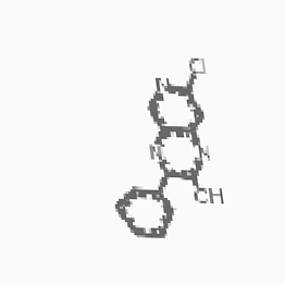 Oc1nc2cc(Cl)ncc2nc1-c1ccccc1